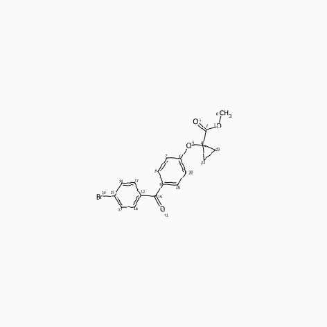 COC(=O)C1(Oc2ccc(C(=O)c3ccc(Br)cc3)cc2)CC1